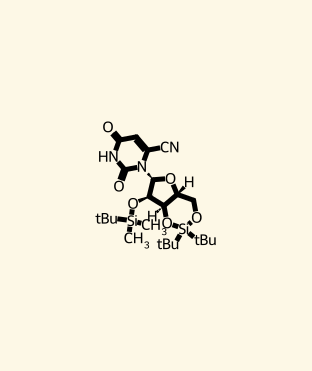 CC(C)(C)[Si](C)(C)O[C@@H]1[C@@H]2O[Si](C(C)(C)C)(C(C)(C)C)OC[C@H]2O[C@H]1n1c(C#N)cc(=O)[nH]c1=O